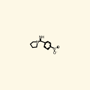 N=C(c1ccc([N+](=O)[O-])cc1)N1CCCC1